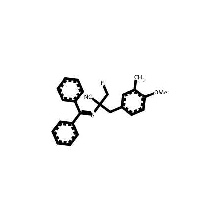 COc1ccc(CC(C#N)(CF)N=C(c2ccccc2)c2ccccc2)cc1C